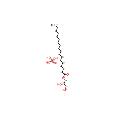 CCCCCCCCCCCCCCCCCC(=O)OCC(O)CO.O[Si](O)(O)O